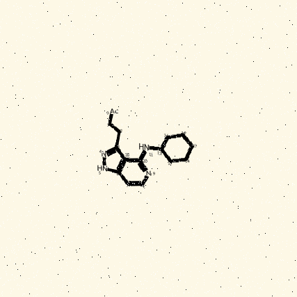 CC(=O)CCc1n[nH]c2ccnc(NC3CCCCC3)c12